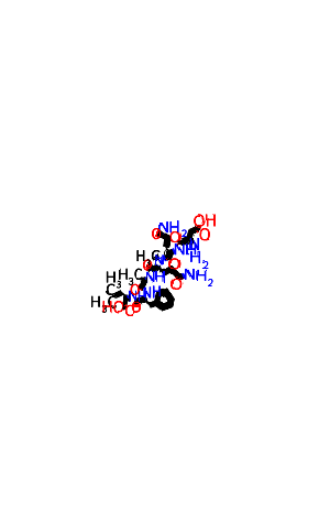 CC(C)C[C@H](NC(=O)[C@H](Cc1ccccc1)NC(=O)[C@H](C)NC(=O)[C@H](CCC(N)=O)N(C)C(=O)[C@H](CCC(N)=O)NC(=O)[C@@H](N)CC(=O)O)C(=O)O